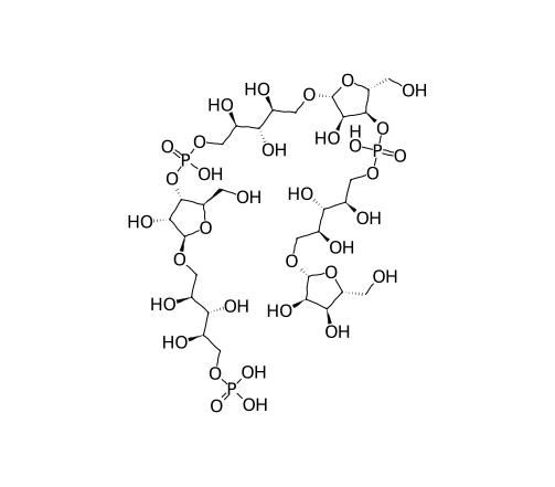 O=P(O)(O)OC[C@@H](O)[C@@H](O)[C@@H](O)CO[C@@H]1O[C@H](CO)[C@@H](OP(=O)(O)OC[C@@H](O)[C@@H](O)[C@@H](O)CO[C@@H]2O[C@H](CO)[C@@H](OP(=O)(O)OC[C@@H](O)[C@@H](O)[C@@H](O)CO[C@@H]3O[C@H](CO)[C@@H](O)[C@H]3O)[C@H]2O)[C@H]1O